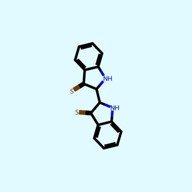 S=C1c2ccccc2NC1C1Nc2ccccc2C1=S